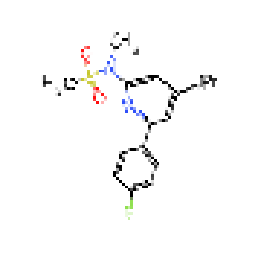 CC(C)c1cc(-c2ccc(F)cc2)nc(N(C)S(C)(=O)=O)c1